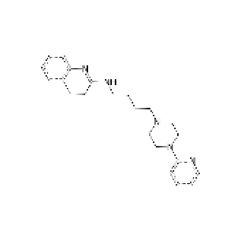 c1ccc(N2CCN(CCCCNC3=Nc4ccccc4CC3)CC2)nc1